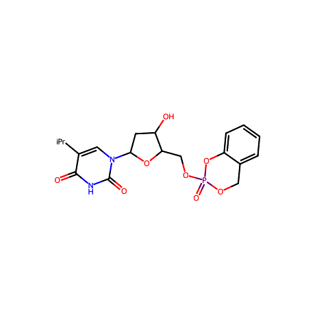 CC(C)c1cn(C2CC(O)C(COP3(=O)OCc4ccccc4O3)O2)c(=O)[nH]c1=O